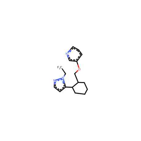 FC(F)(F)Cn1nccc1C1CCCCC1COc1cccnc1